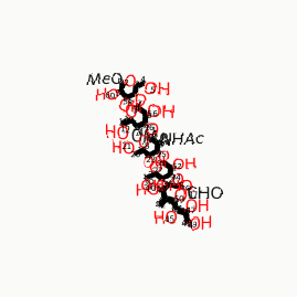 COC1OC(CO)C(OC2OC(CO)C(OC)C(OC3OC(CO)C(O)C(OC4OC(CO)C(O)C(OC5(OC=O)CC(O)C(C)C(C(O)[C@@H](O)CO)O5)C4O)C3NC(C)=O)C2O)C(O)C1O